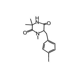 CN1C(=O)C(C)(C)NC(=O)C1Cc1ccc(I)cc1